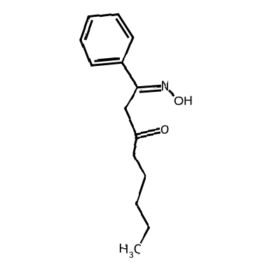 CCCCCC(=O)CC(=NO)c1ccccc1